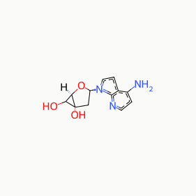 Nc1ccnc2c1ccn2[C@H]1C[C@@]2(O)C(O)[C@H]2O1